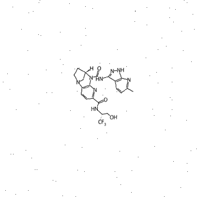 Cc1ccc2c(NC(=O)N3c4nc(C(=O)N[C@H](CO)C(F)(F)F)ccc4N4CC[C@H]3C4)n[nH]c2n1